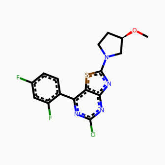 CO[C@@H]1CCN(c2nc3nc(Cl)nc(-c4ccc(F)cc4F)c3s2)C1